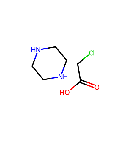 C1CNCCN1.O=C(O)CCl